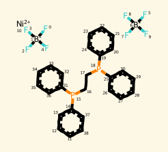 F[B-](F)(F)F.F[B-](F)(F)F.[Ni+2].c1ccc(P(CCP(c2ccccc2)c2ccccc2)c2ccccc2)cc1